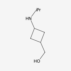 CC(C)NC1CC(CO)C1